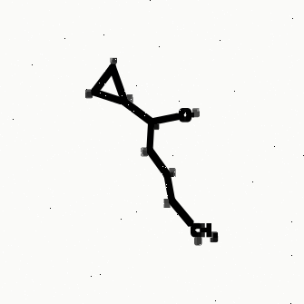 CCCCC([O])C1CC1